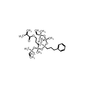 C=C[Si](C)(C)O[Si](C)(C)O[Si](C)(CCCc1ccccc1)O[Si](C)(CCCOC(=O)C(=C)C)O[Si](C)(C)C=C